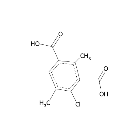 Cc1cc(C(=O)O)c(C)c(C(=O)O)c1Cl